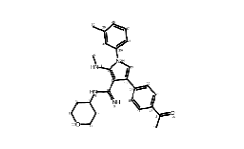 CNc1c(C(=N)NC2CCOCC2)c(-c2ccc(C(C)=O)cc2)cn1-c1cccc(C)c1